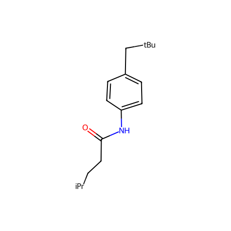 CC(C)CCC(=O)Nc1ccc(CC(C)(C)C)cc1